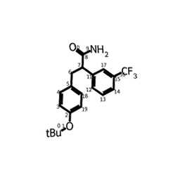 CC(C)(C)Oc1ccc(CC(C(N)=O)c2cccc(C(F)(F)F)c2)cc1